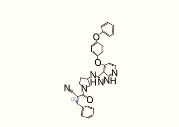 N#C/C(=C/c1ccccc1)C(=O)N1CCC(Nc2n[nH]c3nccc(Oc4ccc(Oc5ccccc5)cc4)c23)C1